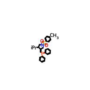 Cc1ccc(S(=O)(=O)N2CC(=CP(c3ccccc3)c3ccccc3)C(C(C)C)C2)cc1